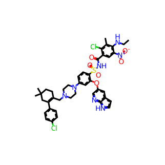 CCNc1c([N+](=O)[O-])cc(C(=O)NS(=O)(=O)c2ccc(N3CCN(CC4=C(c5ccc(Cl)cc5)CC(C)(C)CC4)CC3)cc2Oc2cnc3[nH]ccc3c2)c(Cl)c1C